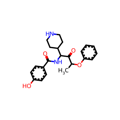 CC(Oc1ccccc1)C(=O)C(NC(=O)c1ccc(O)cc1)C1CCNCC1